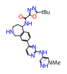 CN/C=C(\C=N)Nc1nccc(-c2ccc3c(c2)CNCCC3NC(=O)c2nnc(C(C)(C)C)o2)n1